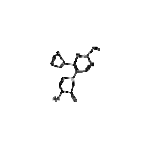 Cn1ccc(-c2cnc(N)nc2-c2ccco2)cc1=O